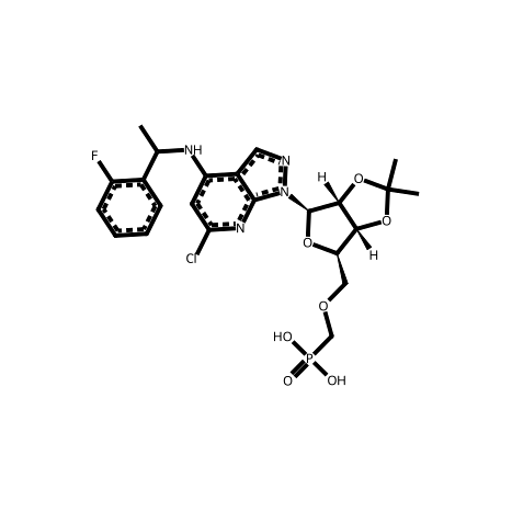 CC(Nc1cc(Cl)nc2c1cnn2[C@@H]1O[C@H](COCP(=O)(O)O)[C@H]2OC(C)(C)O[C@H]21)c1ccccc1F